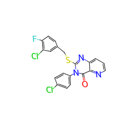 O=c1c2ncccc2nc(SCc2ccc(F)c(Cl)c2)n1-c1ccc(Cl)cc1